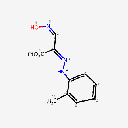 CCOC(=O)C(/C=N\O)=N\Nc1ccccc1C